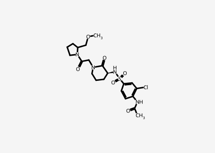 COCC1CCCN1C(=O)CN1CCC[C@H](NS(=O)(=O)c2ccc(NC(C)=O)c(Cl)c2)C1=O